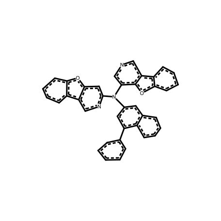 c1ccc(-c2cc(N(c3cc4oc5ccccc5c4cn3)c3cncc4c3oc3ccccc34)cc3ccccc23)cc1